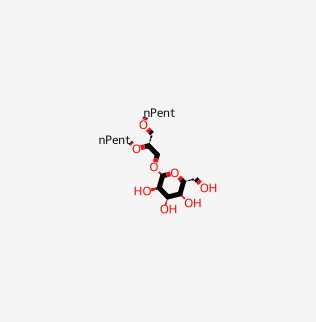 CCCCCOC[C@H](CO[C@@H]1O[C@H](CO)[C@H](O)[C@H](O)[C@H]1O)OCCCCC